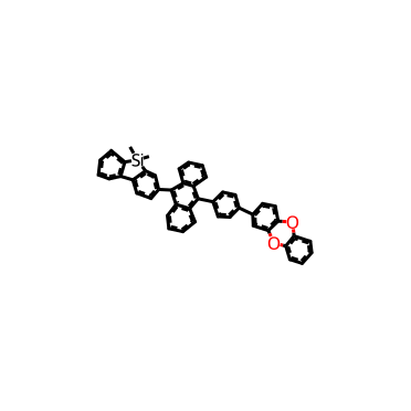 C[Si]1(C)c2ccccc2-c2ccc(-c3c4ccccc4c(-c4ccc(-c5ccc6c(c5)Oc5ccccc5O6)cc4)c4ccccc34)cc21